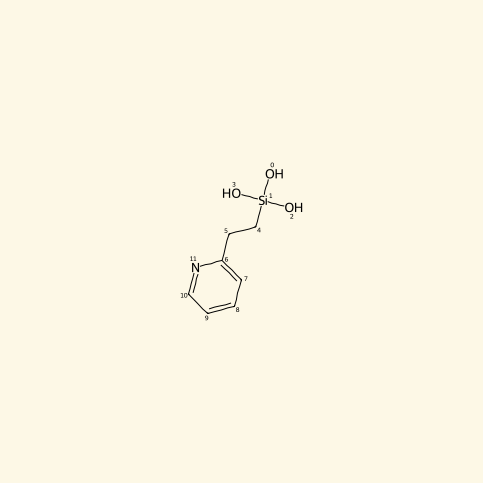 O[Si](O)(O)CCc1ccccn1